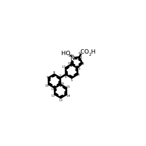 O=C(O)c1cc2ccc(-c3cccc4ccccc34)cc2n1O